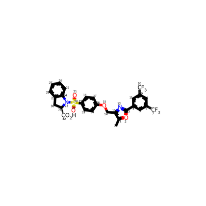 Cc1oc(-c2cc(C(F)(F)F)cc(C(F)(F)F)c2)nc1COc1ccc(S(=O)(=O)N2c3ccccc3C[C@@H]2C(=O)O)cc1